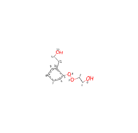 OCCOOc1ccccc1CCO